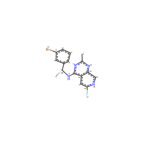 Cc1nc(N[C@H](C)c2cccc(Br)c2)c2cc(F)ncc2n1